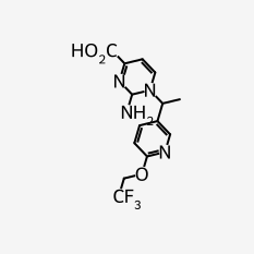 CC(c1ccc(OCC(F)(F)F)nc1)N1C=CC(C(=O)O)=NC1N